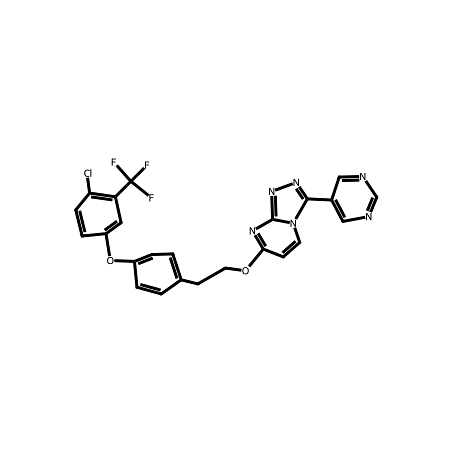 FC(F)(F)c1cc(Oc2ccc(CCOc3ccn4c(-c5cncnc5)nnc4n3)cc2)ccc1Cl